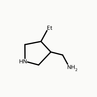 CCC1CNCC1CN